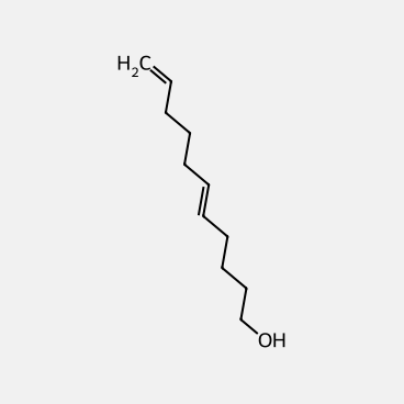 C=CCCCC=CCCCCO